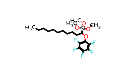 CCCCCCCCCCC(Oc1c(F)c(F)c(F)c(F)c1F)[Si](OC)(OC)OC